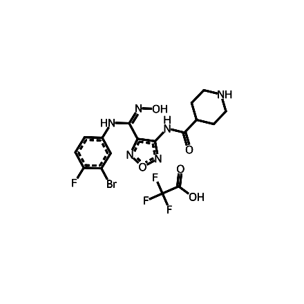 O=C(Nc1nonc1/C(=N\O)Nc1ccc(F)c(Br)c1)C1CCNCC1.O=C(O)C(F)(F)F